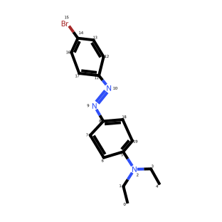 CCN(CC)c1ccc(N=Nc2ccc(Br)cc2)cc1